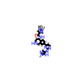 Cn1cc(Nc2nccc(-c3ccc4c(c3)CNCC[C@H]4NC(=O)c3cn(C(C)(C)C)nn3)n2)cn1